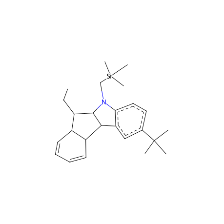 CCC1C2C=CC=CC2C2c3cc(C(C)(C)C)ccc3N(C[Si](C)(C)C)C12